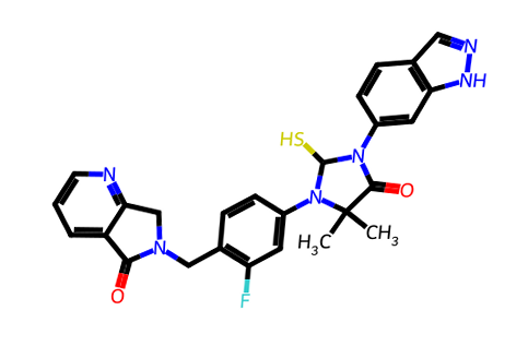 CC1(C)C(=O)N(c2ccc3cn[nH]c3c2)C(S)N1c1ccc(CN2Cc3ncccc3C2=O)c(F)c1